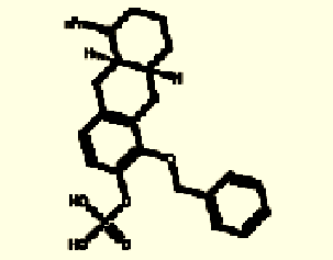 CCCN1CCC[C@@H]2Cc3c(ccc(OP(=O)(O)O)c3OCc3ccccc3)C[C@H]21